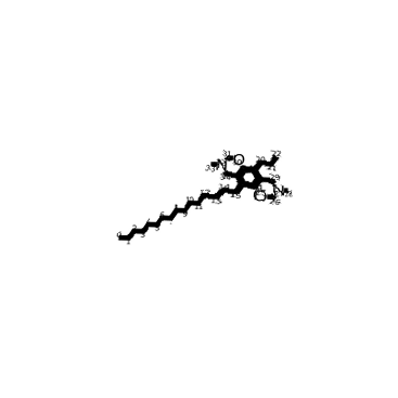 CCCCCCCCCCCCCCCCc1c2c(c(CCC)c3c1OCN(C)C3)OCN(C)C2